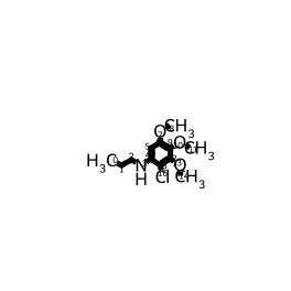 CCCNc1cc(OC)c(OC)c(OC)c1Cl